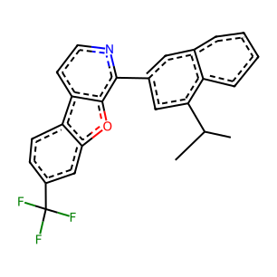 CC(C)c1cc(-c2nccc3c2oc2cc(C(F)(F)F)ccc23)cc2ccccc12